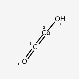 O=[C]=[Co][OH]